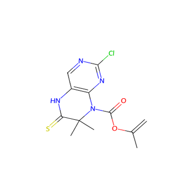 C=C(C)OC(=O)N1c2nc(Cl)ncc2NC(=S)C1(C)C